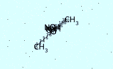 CCCCCCCCCC(=O)OC(=O)CCCCCCC.[NaH].[NaH]